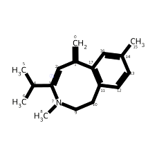 C=C1/C=C(/C(C)C)N(C)CCc2ccc(C)cc21